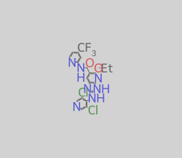 CCOc1nc2[nH]c(Nc3c(Cl)cncc3Cl)nc2cc1C(=O)Nc1cc(C(F)(F)F)ccn1